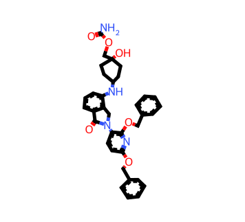 NC(=O)OCC1(O)CCC(Nc2cccc3c2CN(c2ccc(OCc4ccccc4)nc2OCc2ccccc2)C3=O)CC1